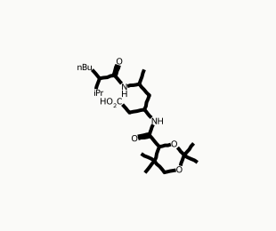 CCCCC(C(=O)NC(C)CC(CC(=O)O)NC(=O)C1OC(C)(C)OCC1(C)C)C(C)C